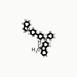 CC1(C)c2ccccc2-c2ccc(N(c3ccccc3)c3ccc(-c4ccc(-n5ccc6ccccc65)cc4)cc3)cc21